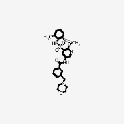 COc1ncc(NC(=O)c2cccc(CN3CCOCC3)c2)cc1S(=O)(=O)Nc1c(C)cccc1C